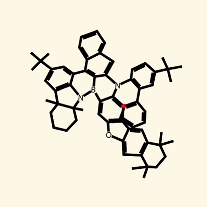 CC(C)(C)c1ccc(N2c3cc4c(cc3B3c5c2cc2ccccc2c5-c2cc(C(C)(C)C)cc5c2N3C2(C)CCCCC52C)oc2cc3c(cc24)C(C)(C)CCC3(C)C)c(-c2ccccc2)c1